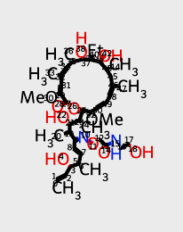 CC=CC(O)C(C)C=CC(=NOCC(=O)NCCO)C(C)C(O)C(C)C1OC(=O)C(OC)=CC(C)=CC(C)C(O)C(CC)C(O)C(C)CC(C)=CC=CC1OC